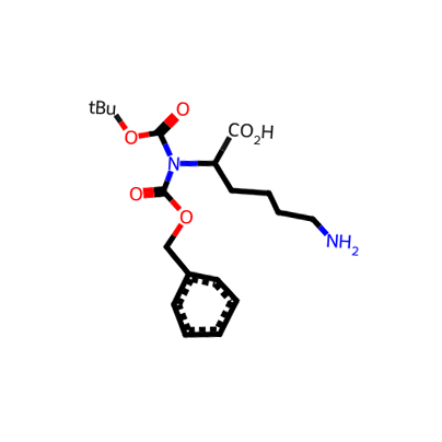 CC(C)(C)OC(=O)N(C(=O)OCc1ccccc1)C(CCCCN)C(=O)O